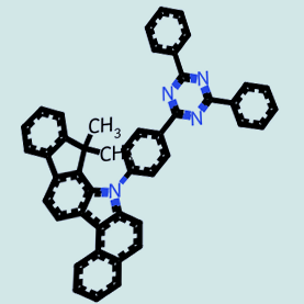 CC1(C)c2ccccc2-c2ccc3c4c5ccccc5ccc4n(-c4ccc(-c5nc(-c6ccccc6)nc(-c6ccccc6)n5)cc4)c3c21